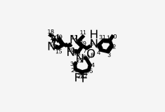 Cc1cccc(NC(=O)c2c(C)nc(-c3cnn(C)c3)nc2N2CCCC(F)(F)CC2)c1